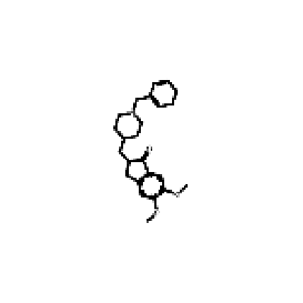 COc1cc2c(cc1OC)C(=O)C(CC1CCN(CC3=CCCC=C3)CC1)C2